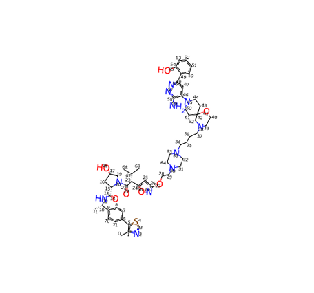 Cc1ncsc1-c1ccc([C@H](C)NC(=O)[C@@H]2C[C@@H](O)CN2C(=O)[C@@H](c2cc(OCCN3CCN(CCCCN4CCOC5(CCN(c6cc(-c7ccccc7O)nnc6N)CC5)C4)CC3)no2)C(C)C)cc1